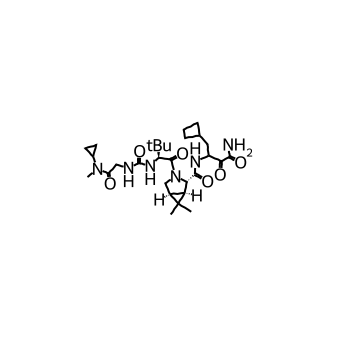 CN(C(=O)CNC(=O)N[C@H](C(=O)N1C[C@H]2[C@@H]([C@H]1C(=O)NC(CC1CCC1)C(=O)C(N)=O)C2(C)C)C(C)(C)C)C1CC1